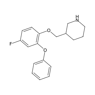 Fc1ccc(OCC2CCCNC2)c(Oc2ccccc2)c1